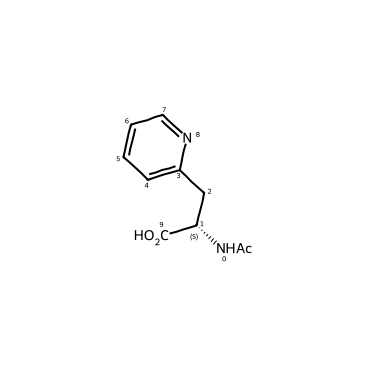 CC(=O)N[C@@H](Cc1ccccn1)C(=O)O